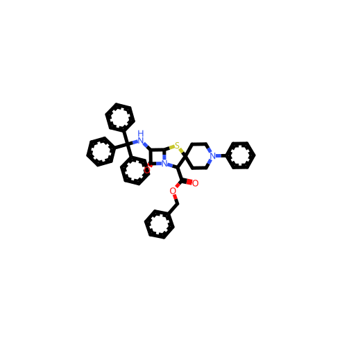 O=C(OCc1ccccc1)C1N2C(=O)C(NC(c3ccccc3)(c3ccccc3)c3ccccc3)C2SC12CCN(c1ccccc1)CC2